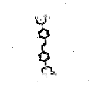 CC[SiH](CC)c1ccc(C=Cc2ccc([SiH](CC)CC)cc2)cc1